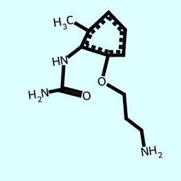 Cc1cccc(OCCCN)c1NC(N)=O